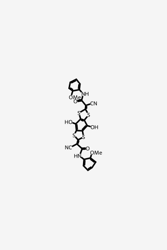 COc1ccccc1NC(=O)C(C#N)=C1Sc2c(O)c3c(c(O)c2S1)SC(=C(C#N)C(=O)Nc1ccccc1OC)S3